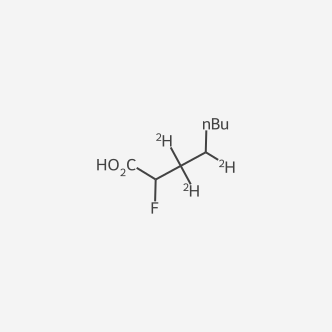 [2H]C(CCCC)C([2H])([2H])C(F)C(=O)O